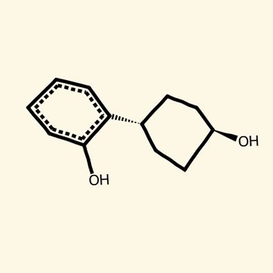 Oc1ccccc1[C@H]1CC[C@H](O)CC1